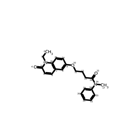 CCn1c(=O)ccc2cc(OCCCC(=O)N(C)c3ccccc3)ccc21